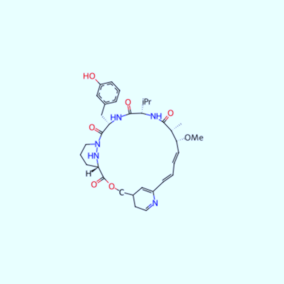 CO[C@@H]1/C=C/C=C/C2=CC(CC=N2)COC(=O)[C@@H]2CCCN(N2)C(=O)[C@H](Cc2cccc(O)c2)NC(=O)[C@H](C(C)C)NC(=O)[C@@H]1C